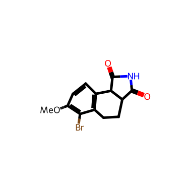 COc1ccc2c(c1Br)CCC1C(=O)NC(=O)C21